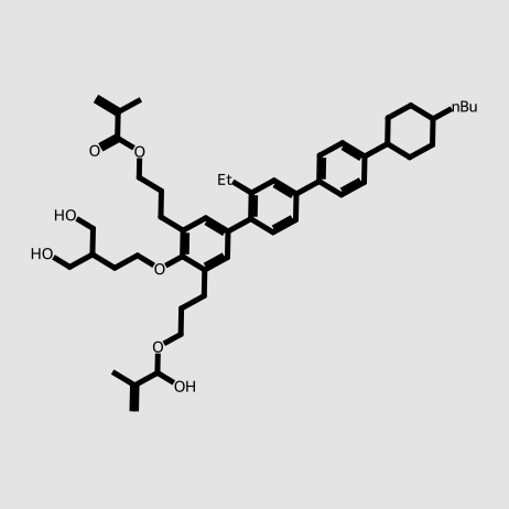 C=C(C)C(=O)OCCCc1cc(-c2ccc(-c3ccc(C4CCC(CCCC)CC4)cc3)cc2CC)cc(CCCOC(O)C(=C)C)c1OCCC(CO)CO